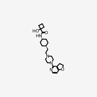 O=C(N[C@H]1CC[C@H](CCN2CCN(c3nccc4c3CCO4)CC2)CC1)C1(O)CCC1